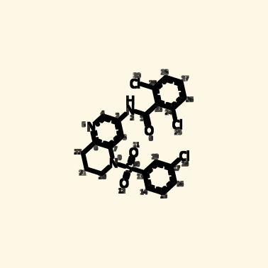 O=C(Nc1cnc2c(c1)N(S(=O)(=O)c1cccc(Cl)c1)CCC2)c1c(Cl)cccc1Cl